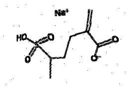 C=C(CCC(C)S(=O)(=O)O)C(=O)[O-].[Na+]